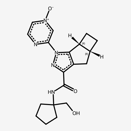 O=C(NC1(CO)CCCC1)c1nn(-c2c[n+]([O-])ccn2)c2c1C[C@H]1CC[C@@H]21